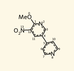 COc1ncc(-c2ccncc2)cc1[N+](=O)[O-]